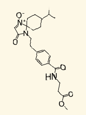 COC(=O)CCNC(=O)c1ccc(CCN2C(=O)C=[N+]([O-])C23CCC(C(C)C)CC3)cc1